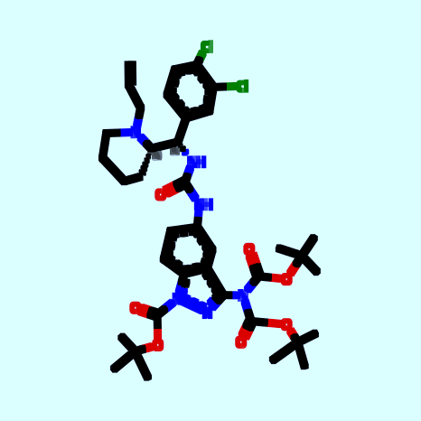 C=CCN1CCCC[C@H]1[C@@H](NC(=O)Nc1ccc2c(c1)c(N(C(=O)OC(C)(C)C)C(=O)OC(C)(C)C)nn2C(=O)OC(C)(C)C)c1ccc(Cl)c(Cl)c1